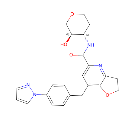 O=C(N[C@H]1CCOC[C@@H]1O)c1cc(Cc2ccc(-n3cccn3)cc2)c2c(n1)CCO2